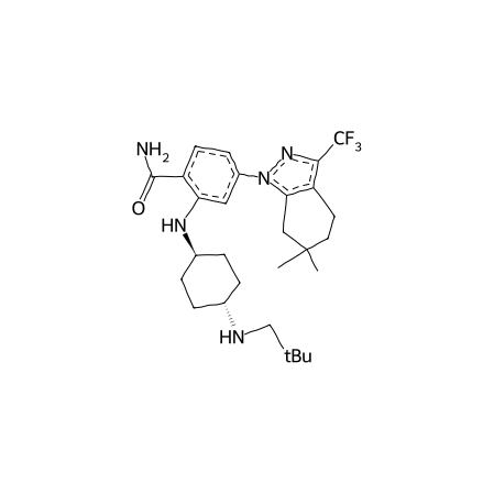 CC(C)(C)CN[C@H]1CC[C@H](Nc2cc(-n3nc(C(F)(F)F)c4c3CC(C)(C)CC4)ccc2C(N)=O)CC1